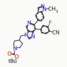 Cn1ncc2cc(-c3ncc4c(ncn4CC4CCN(C(=O)OC(C)(C)C)CC4)c3-c3ccc(C#N)c(F)c3)ccc21